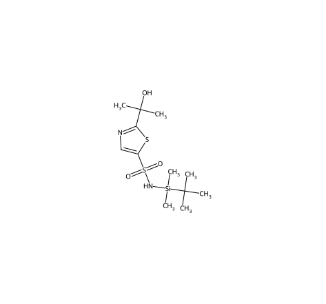 CC(C)(O)c1ncc(S(=O)(=O)N[Si](C)(C)C(C)(C)C)s1